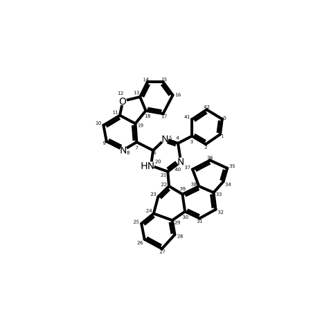 c1ccc(C2=NC(c3nccc4oc5ccccc5c34)NC(c3cc4ccccc4c4ccc5ccccc5c34)=N2)cc1